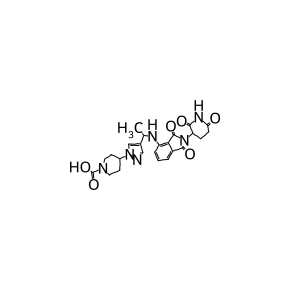 CC(Nc1cccc2c1C(=O)N(C1CCC(=O)NC1=O)C2=O)c1cnn(C2CCN(C(=O)O)CC2)c1